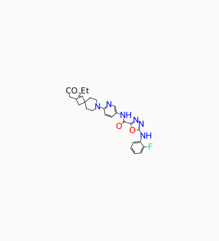 CCOC(=O)CC1CC2(CCN(c3ccc(NC(=O)c4nnc(Nc5ccccc5F)o4)cn3)CC2)C1